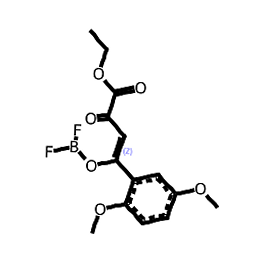 CCOC(=O)C(=O)/C=C(\OB(F)F)c1cc(OC)ccc1OC